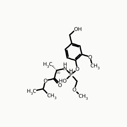 COC[PH](O)(N[C@@H](C)C(=O)OC(C)C)Oc1ccc(CO)cc1OC